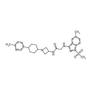 Cc1ccc2c(c1)c(NCC(=O)NC1CN(C3CCC(c4ccc(C)nc4)CC3)C1)nn2S(C)(=O)=O